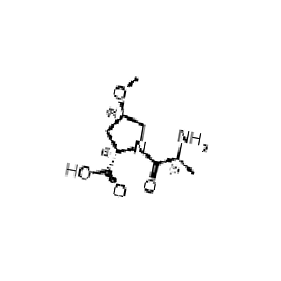 CO[C@@H]1C[C@@H](C(=O)O)N(C(=O)[C@H](C)N)C1